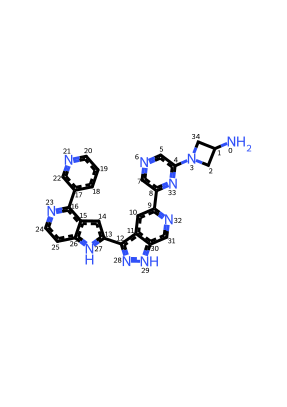 NC1CN(c2cncc(-c3cc4c(-c5cc6c(-c7cccnc7)nccc6[nH]5)n[nH]c4cn3)n2)C1